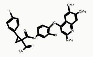 CNc1cc(Oc2ccc(NC(=O)C3(C(N)=O)CC3c3ccc(F)cc3)cc2F)c2cc(OC)c(OC)cc2n1